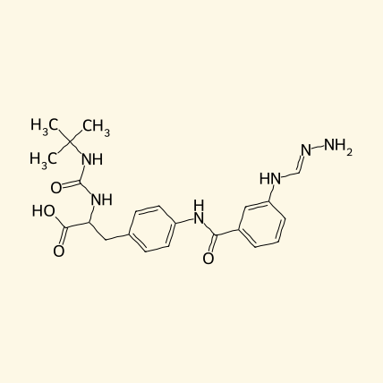 CC(C)(C)NC(=O)NC(Cc1ccc(NC(=O)c2cccc(NC=NN)c2)cc1)C(=O)O